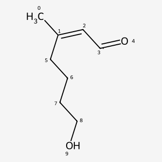 CC(=C[C]=O)CCCCO